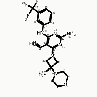 CC1(N2CCOCC2)CN(c2nc(N)nc(Nc3cccc(C(F)(F)F)c3)c2C=N)C1